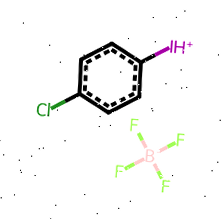 Clc1ccc([IH+])cc1.F[B-](F)(F)F